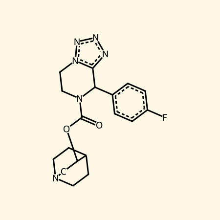 O=C(OC1CN2CCC1CC2)N1CCn2nnnc2C1c1ccc(F)cc1